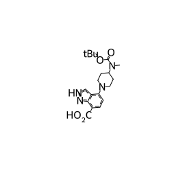 CN(C(=O)OC(C)(C)C)C1CCN(c2ccc(C(=O)O)c3n[nH]cc23)CC1